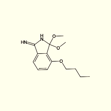 CCCCOc1cccc2c1C(OC)(OC)NC2=N